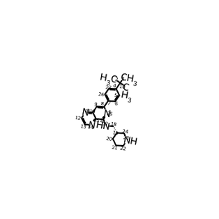 CC(C)(C)c1ccc(-c2cc3nccnc3c(NC[C@H]3CCCNC3)n2)cc1